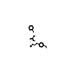 CCc1ccc(C2CC(C(F)(F)F)n3ncc(C(=O)NCc4ccccc4F)c3N2)cc1